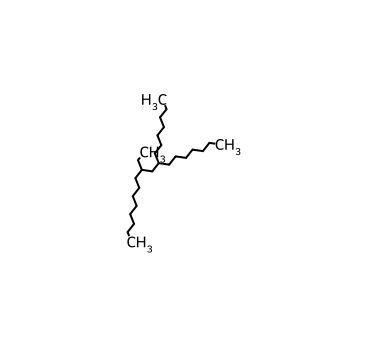 CCCCCCCCC(CC)CC(CCCCCCC)CCCCCCC